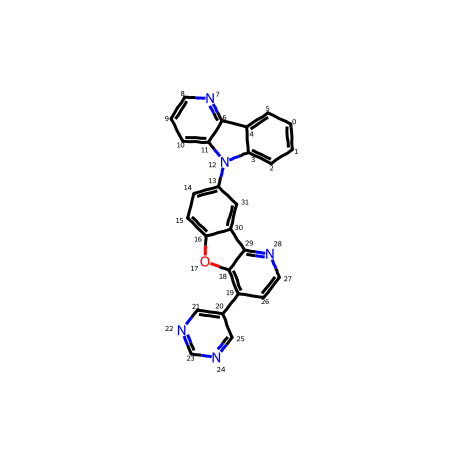 c1ccc2c(c1)c1ncccc1n2-c1ccc2oc3c(-c4cncnc4)ccnc3c2c1